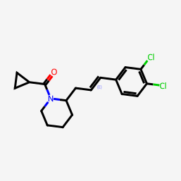 O=C(C1CC1)N1CCCCC1C/C=C/c1ccc(Cl)c(Cl)c1